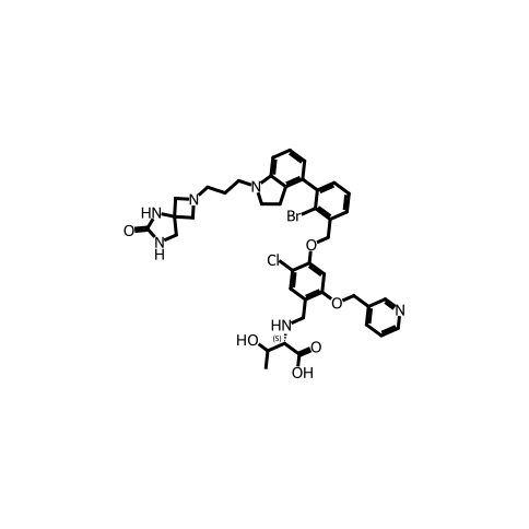 CC(O)[C@H](NCc1cc(Cl)c(OCc2cccc(-c3cccc4c3CCN4CCCN3CC4(CNC(=O)N4)C3)c2Br)cc1OCc1cccnc1)C(=O)O